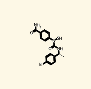 C[C@@H](NC(=O)N(S)c1ccc(C(N)=O)cc1)c1ccc(Br)cc1